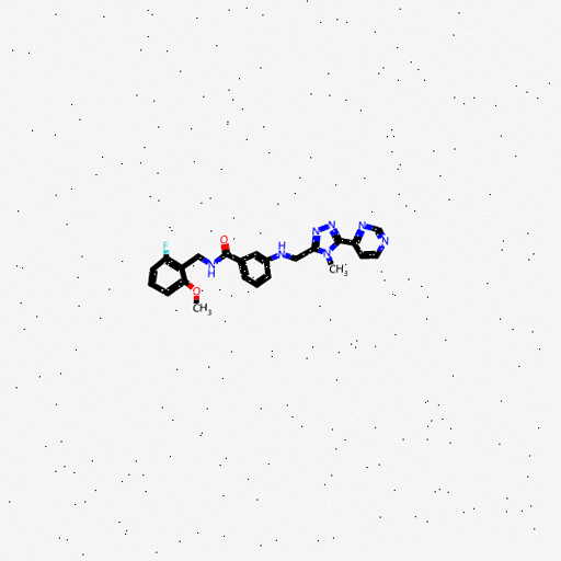 COc1cccc(F)c1CNC(=O)c1cccc(NCc2nnc(-c3ccncn3)n2C)c1